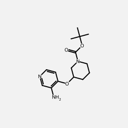 CC(C)(C)OC(=O)N1CCCC(Oc2ccncc2N)C1